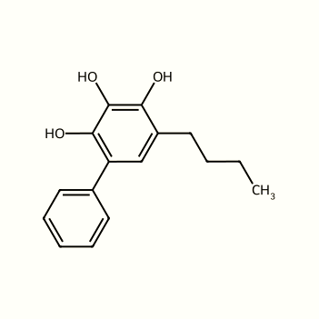 CCCCc1cc(-c2ccccc2)c(O)c(O)c1O